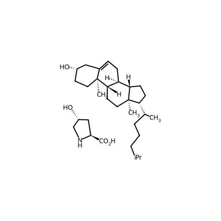 CC(C)CCCC(C)[C@H]1CC[C@H]2[C@@H]3CC=C4C[C@@H](O)CC[C@]4(C)[C@H]3CC[C@]12C.O=C(O)[C@@H]1C[C@@H](O)CN1